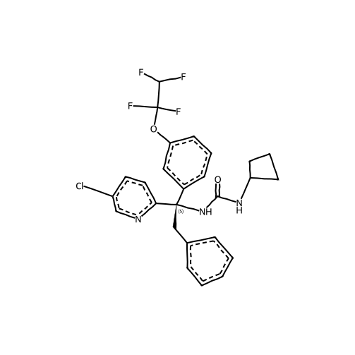 O=C(NC1CCC1)N[C@@](Cc1ccccc1)(c1cccc(OC(F)(F)C(F)F)c1)c1ccc(Cl)cn1